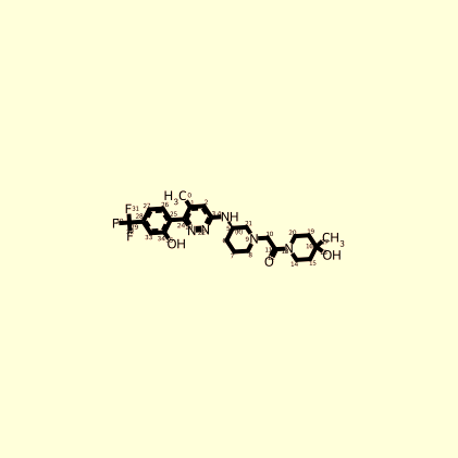 Cc1cc(N[C@@H]2CCCN(CC(=O)N3CCC(C)(O)CC3)C2)nnc1-c1ccc(C(F)(F)F)cc1O